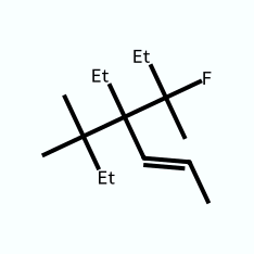 CC=CC(CC)(C(C)(C)CC)C(C)(F)CC